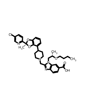 CCCCO[C@@H](C)Cn1c(CN2CCC(c3cccc4c3O[C@@](C)(c3ccc(Cl)cn3)O4)CC2)nc2ccc(C(=O)O)cc21